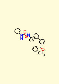 Cc1ccccc1C(=O)c1cccc(-c2cccc(/C(C#N)=N/OC(=O)NC3CCCCC3)c2)c1